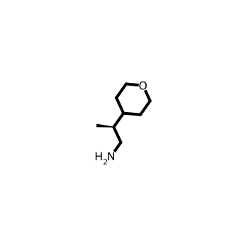 C[C@H](CN)C1CCOCC1